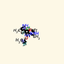 CC[C@@H]1N[C@H](C)CN2c3nc(OC[C@@H]4CC(F)(F)CN4C)nc4c(F)c(-c5nc(N)cc(C)c5C(F)(F)F)c(Cl)c(c34)OC[C@H]12